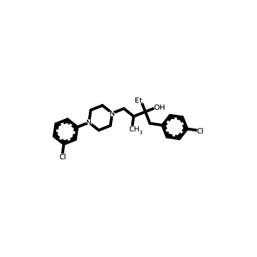 CCC(O)(Cc1ccc(Cl)cc1)C(C)CN1CCN(c2cccc(Cl)c2)CC1